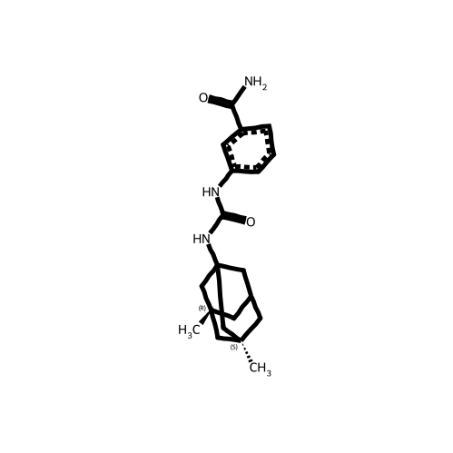 C[C@]12CC3CC(NC(=O)Nc4cccc(C(N)=O)c4)(C1)C[C@@](C)(C3)C2